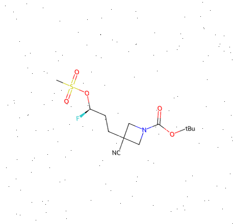 CC(C)(C)OC(=O)N1CC(C#N)(CC[C@@H](F)OS(C)(=O)=O)C1